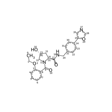 CCOc1ccccc1C(=O)N1C[C@H](O)C[C@H]1C(=O)NCc1ccc(-c2cnco2)cc1